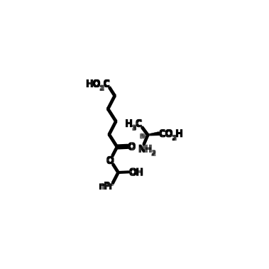 CCCC(O)OC(=O)CCCCC(=O)O.C[C@H](N)C(=O)O